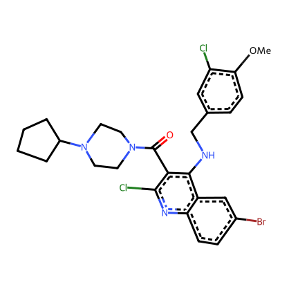 COc1ccc(CNc2c(C(=O)N3CCN(C4CCCC4)CC3)c(Cl)nc3ccc(Br)cc23)cc1Cl